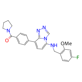 COc1cc(F)ccc1CNc1ccc(-c2ccc(C(=O)N3CCCC3)cc2)c2nncn12